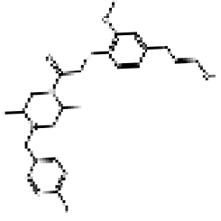 COc1cc(CC=CO)ccc1OCC(=O)N1CC(C)N(Cc2ccc(F)cc2)CC1C